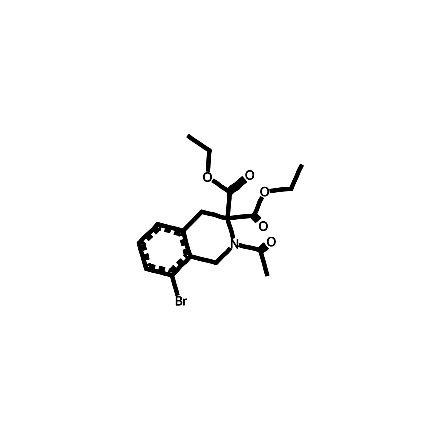 CCOC(=O)C1(C(=O)OCC)Cc2cccc(Br)c2CN1C(C)=O